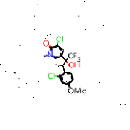 COc1ccc(C(C)C(O)(c2cc(Cl)c(=O)n(C)c2)C(F)(F)F)c(Cl)c1